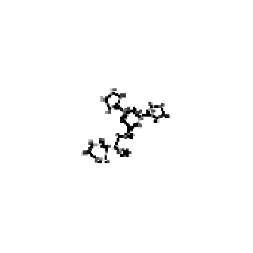 OC(CNc1cc(N2CCCC2)nc(N2CCCC2)n1)c1ccccc1